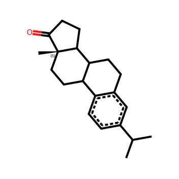 CC(C)c1ccc2c(c1)CCC1C2CC[C@]2(C)C(=O)CCC12